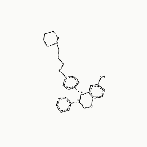 Oc1ccc2c(c1)[C@@H](c1ccc(OCCCN3CCCCC3)cc1)[C@@H](c1ccccc1)CO2